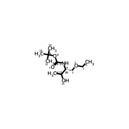 CCOC[C@@H](NC(=O)OC(C)(C)C)C(C)O